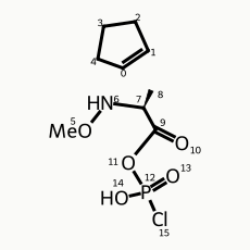 C1=CCCC1.CON[C@@H](C)C(=O)OP(=O)(O)Cl